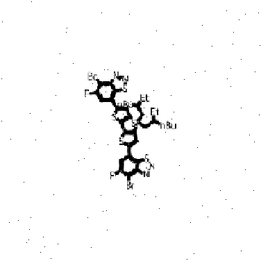 CCCCC(CC)C[Si]1(CC(CC)CCCC)c2cc(-c3cc(F)c(Br)c4nnsc34)sc2-c2sc(-c3cc(F)c(Br)c4nnsc34)cc21